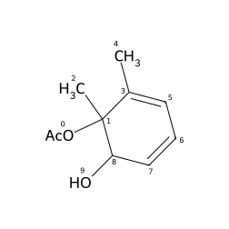 CC(=O)OC1(C)C(C)=CC=CC1O